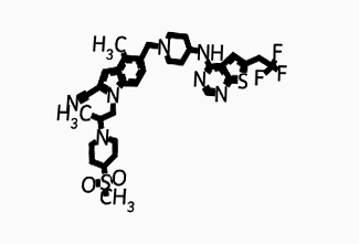 Cc1c(CN2CCC(Nc3ncnc4sc(CC(F)(F)F)cc34)CC2)ccc2c1cc(C#N)n2CC(C)N1CCC(S(C)(=O)=O)CC1